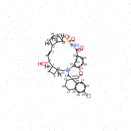 C[C@@H]1[C@H]2/C=C/[C@H](O)[C@@H]3CC[C@H]3CN3C[C@@]4(CCCc5cc(Cl)ccc54)COc4ccc(cc43)C(=O)NS(=O)(=O)[C@H]1CCC2